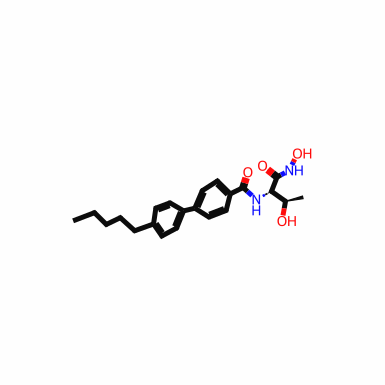 CCCCCc1ccc(-c2ccc(C(=O)N[C@H](C(=O)NO)[C@@H](C)O)cc2)cc1